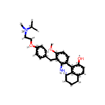 COc1ccc(-c2c(O)ccc3c2CCCC3)c(N)c1Cc1ccc(OCCN(C)C(C)C)cc1